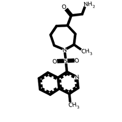 Cc1cnc(S(=O)(=O)N2CCCC(C(=O)CN)CC2C)c2ccccc12